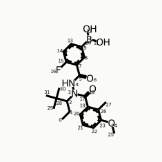 CCC(N(NC(=O)c1cc(B(O)O)ccc1F)C(=O)c1cccc(OC)c1C)C(C)(C)C